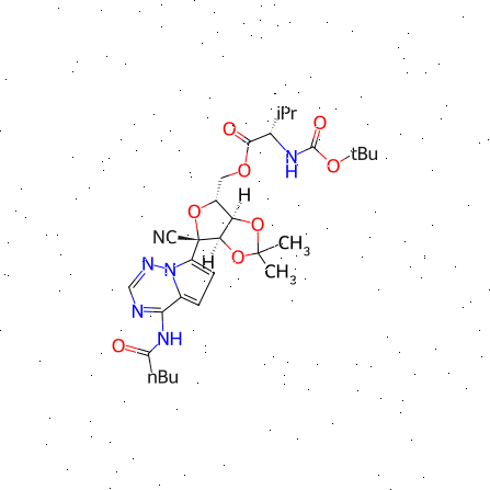 CCCCC(=O)Nc1ncnn2c([C@]3(C#N)O[C@H](COC(=O)[C@@H](NC(=O)OC(C)(C)C)C(C)C)[C@H]4OC(C)(C)O[C@H]43)ccc12